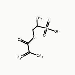 C=C(C)C(=O)OCC(C)S(=O)(=O)O